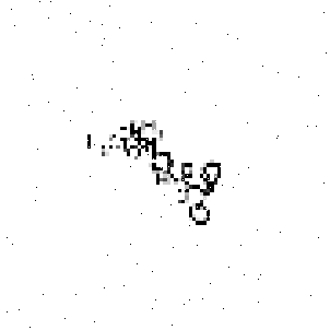 CN1/C(=N/c2ccc(NC(=O)C(=O)c3c(-c4ccccc4)cc4ccccn34)cc2)OCC1(C)C